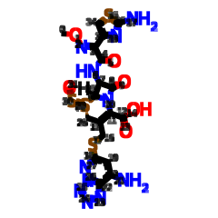 CON=C(C(=O)NC1C(=O)N2C(C(=O)O)=C(CSc3cc(N)c4nnnn4n3)C[S@](=S=O)[C@@H]12)c1csc(N)n1